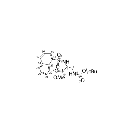 COC(=O)C(CNC(=O)OC(C)(C)C)NS(=O)(=O)c1cccc2ccccc12